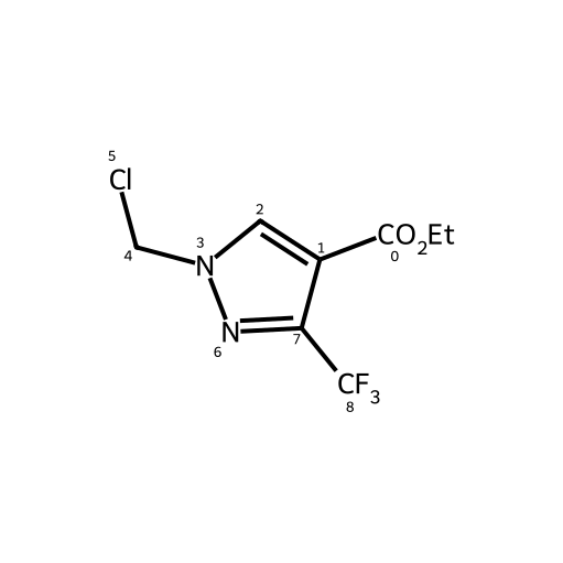 CCOC(=O)c1cn(CCl)nc1C(F)(F)F